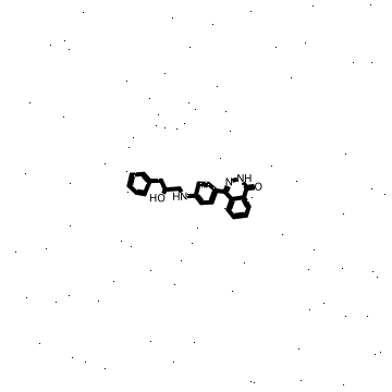 O=c1[nH]nc(-c2ccc(NCC(O)Cc3ccccc3)cc2)c2ccccc12